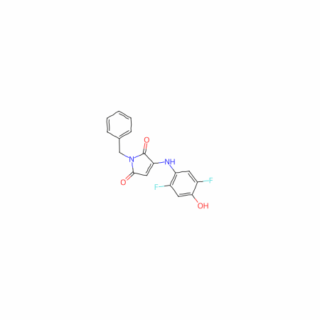 O=C1C=C(Nc2cc(F)c(O)cc2F)C(=O)N1Cc1ccccc1